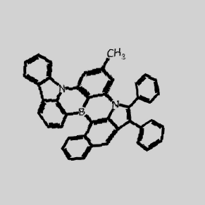 Cc1cc2c3c(c1)-n1c4ccccc4c4cccc(c41)B3c1c3ccccc3cc3c(-c4ccccc4)c(-c4ccccc4)n-2c13